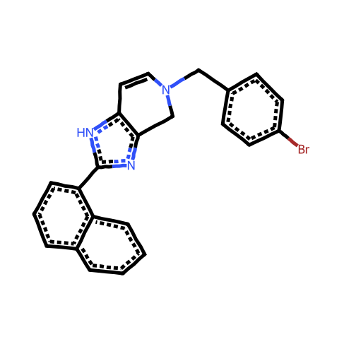 Brc1ccc(CN2C=Cc3[nH]c(-c4cccc5ccccc45)nc3C2)cc1